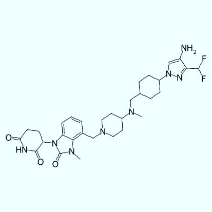 CN(CC1CCC(n2cc(N)c(C(F)F)n2)CC1)C1CCN(Cc2cccc3c2n(C)c(=O)n3C2CCC(=O)NC2=O)CC1